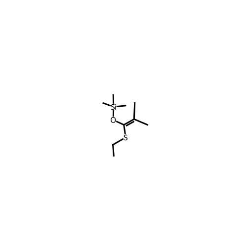 CCSC(O[Si](C)(C)C)=C(C)C